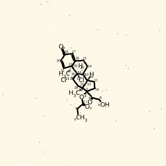 CCC(=O)O[C@]1(C(=O)CO)CC[C@H]2[C@@H]3CCC4=CC(=O)C=C[C@]4(C)[C@@]3(Cl)[C@@H](Cl)C[C@@]21C